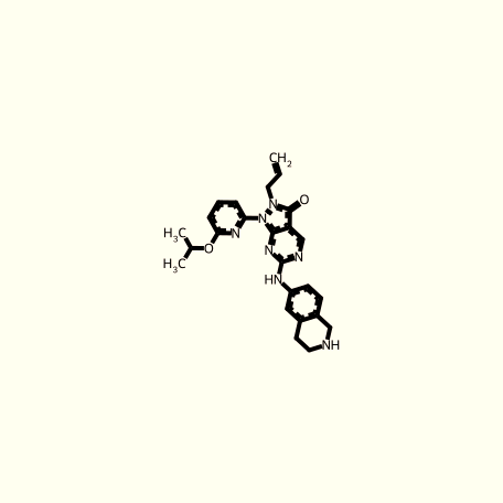 C=CCn1c(=O)c2cnc(Nc3ccc4c(c3)CCNC4)nc2n1-c1cccc(OC(C)C)n1